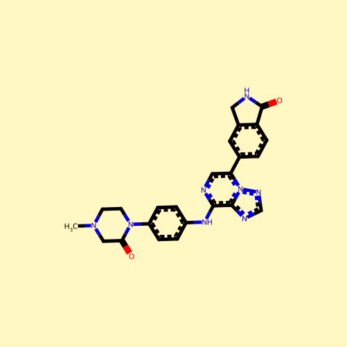 CN1CCN(c2ccc(Nc3ncc(-c4ccc5c(c4)CNC5=O)n4ncnc34)cc2)C(=O)C1